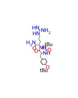 CC(C)(C)OC(=O)NC(Cc1ccc(OC(C)(C)C)cc1)C(=O)NC(CCCNC(=N)N)C(N)=O